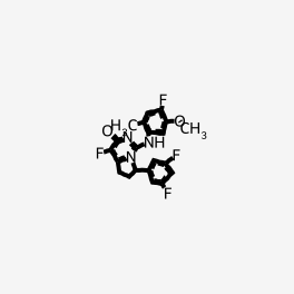 COc1cc(Nc2nc(=O)c(F)c3n2C(c2cc(F)cc(F)c2)CC3)c(C)cc1F